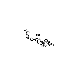 CN(c1ccccc1Nc1nc(Nc2ccc(N3CCC(CN4CCN(CC(=O)O)CC4)CC3)cc2Cl)ncc1Cl)S(C)(=O)=O.Cl